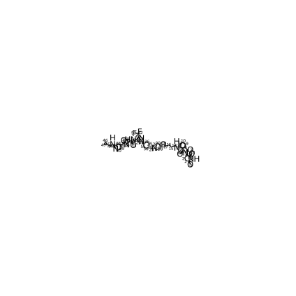 O=C1CCC(N2C(=O)c3cccc(NCCCCOC4CCN(C[C@H]5CC[C@H](n6cc(NC(=O)c7coc(-c8ccnc(NCC9CC9)c8)n7)c(C(F)F)n6)CC5)CC4)c3C2=O)C(=O)N1